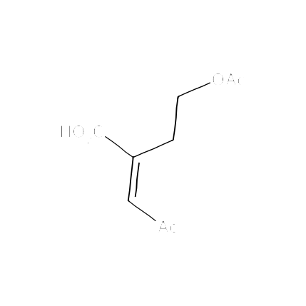 CC(=O)C=C(CCOC(C)=O)C(=O)O